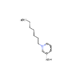 CCCCCCCCCCCCCCCC[n+]1cccc(CCCCCCCCCC)c1